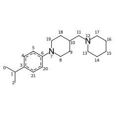 CC(C)c1ccc(N2CCC(CN3CCCCC3)CC2)cc1